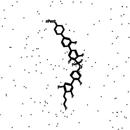 CCCCCC1CCC(c2ccc(-c3cc(F)c(C(F)(F)Oc4ccc(-c5cc(F)c(CCCF)c(F)c5)c(F)c4)c(F)c3)c(F)c2)CC1